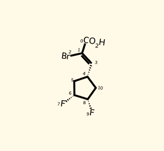 O=C(O)/C(Br)=C/[C@H]1C[C@@H](F)[C@@H](F)C1